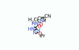 C=C(C)[C@@H](NC(=O)c1c[nH]c2ncc(OC(C)C)nc12)C(=O)N1CCC(C#N)CC1